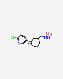 Clc1ccc([C@@H]2CCCC(CNOI)C2)cn1